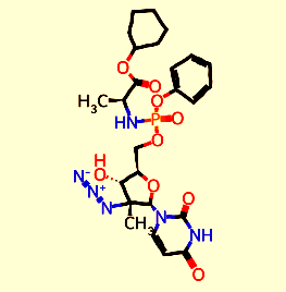 C[C@H](NP(=O)(OC[C@H]1O[C@@H](n2ccc(=O)[nH]c2=O)[C@](C)(N=[N+]=[N-])[C@@H]1O)Oc1ccccc1)C(=O)OC1CCCCC1